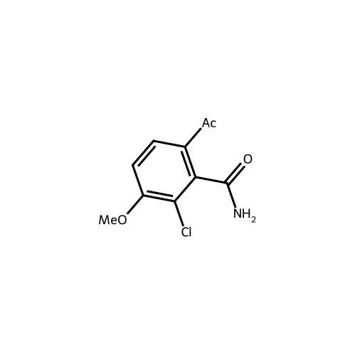 COc1ccc(C(C)=O)c(C(N)=O)c1Cl